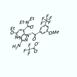 CCOc1cc(C(=O)N(CC)CC)c2n(n1)c(N)n[n+]2CC(=O)c1cc(OC)cc(S(F)(F)(F)(F)F)c1.O=C([O-])C(F)(F)F